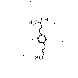 CC(C)CCc1ccc(CCCO)cc1